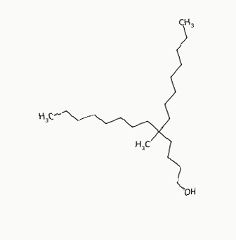 CCCCCCCCC(C)(CCCCO)CCCCCCCC